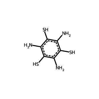 Nc1c(S)c(N)c(S)c(N)c1S